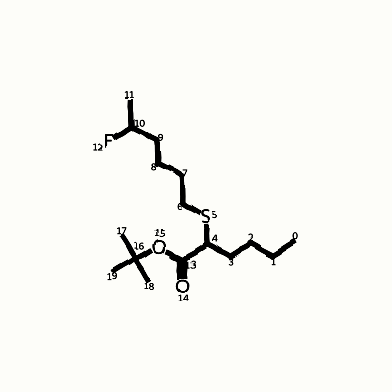 CCCCC(SCCCCC(C)F)C(=O)OC(C)(C)C